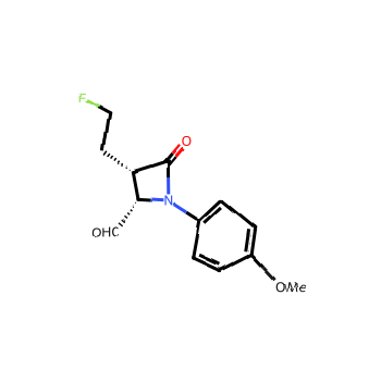 COc1ccc(N2C(=O)[C@@H](CCF)[C@H]2C=O)cc1